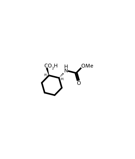 COC(=O)N[C@@H]1CCCC[C@H]1C(=O)O